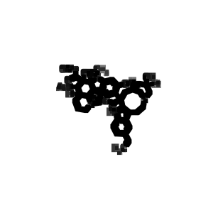 C=Cc1ccc2[nH]c3c(c2c1)CCN1C[C@H](C[C@@](O)(CC)C1)C[C@]3(C(=O)OC)c1cc2c(cc1OC)N(C)[C@H]1[C@@](O)(C(=O)OC)[C@H](OC(C)=O)[C@]3(CC)C=CCN4CC[C@]21[C@@H]43